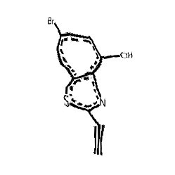 C#Cc1nc2c(O)cc(Br)cc2s1